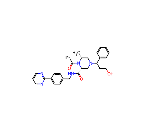 CC(C)C(=O)N1[C@H](C)CN([C@H](CCO)c2ccccc2)C[C@@H]1C(=O)NCc1ccc(-c2ncccn2)cc1